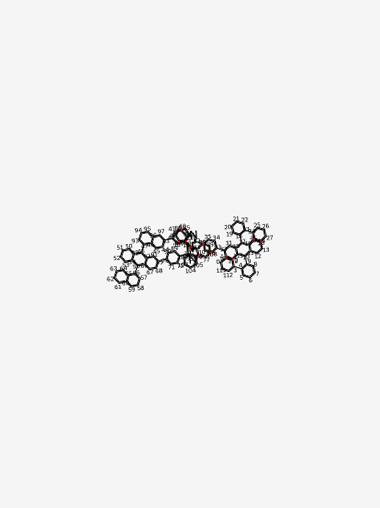 c1ccc(-c2ccccc2-c2c3ccccc3c(-c3ccccc3-c3ccccc3)c3cc(-c4ccc(-c5nc6ccc(-c7ccc8c(-c9c%10ccccc%10c(-c%10cccc%11ccccc%10%11)c%10ccc(-c%11ccc(-c%12nc%13ccccc%13n%12-c%12ccccc%12)cc%11)cc9%10)cccc8c7)cc6n5-c5ccccc5)cc4)ccc23)cc1